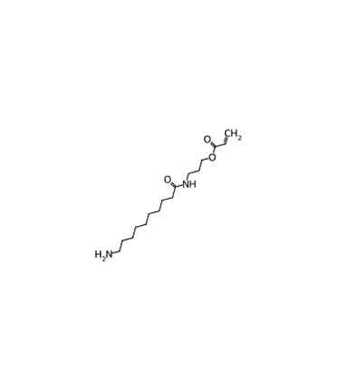 C=CC(=O)OCCCNC(=O)CCCCCCCCCN